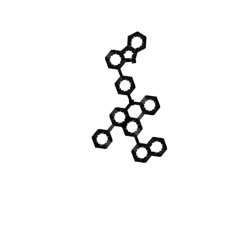 c1ccc(-c2ccc(N(c3ccc(-c4cccc5c4sc4ccccc45)cc3)c3ccccc3-c3cccc(-c4cccc5ccccc45)c3)cc2)cc1